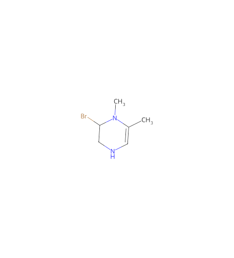 CC1=CNCC(Br)N1C